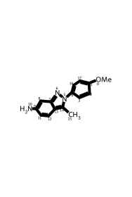 COc1ccc(-n2nc3cc(N)ccc3c2C)cc1